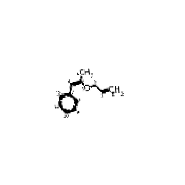 C=CCOC(C)=Cc1ccccc1